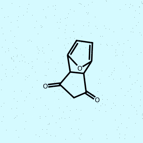 O=C1CC(=O)C2c3ccc(o3)C12